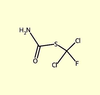 NC(=O)SC(F)(Cl)Cl